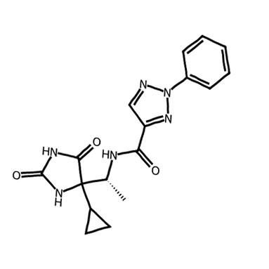 C[C@@H](NC(=O)c1cnn(-c2ccccc2)n1)C1(C2CC2)NC(=O)NC1=O